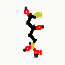 O=C(S)CC(=O)CCS(=O)O